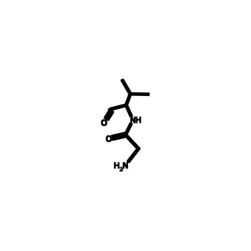 CC(C)C([C]=O)NC(=O)CN